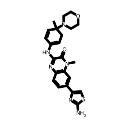 Cn1c(=O)c(NC2=CCC(C)(N3CCOCC3)C=C2)nc2ccc(-c3csc(N)n3)cc21